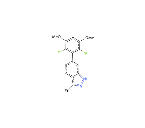 CCc1n[nH]c2cc(-c3c(F)c(OC)cc(OC)c3F)ccc12